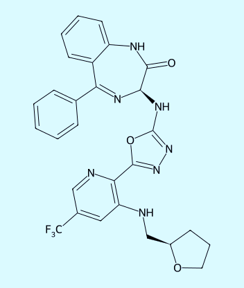 O=C1Nc2ccccc2C(c2ccccc2)=N[C@@H]1Nc1nnc(-c2ncc(C(F)(F)F)cc2NC[C@H]2CCCO2)o1